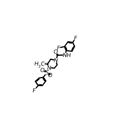 C[C@H]1CN(C(=O)Nc2ccc(F)cc2F)CCN1S(=O)(=O)c1ccc(F)cc1